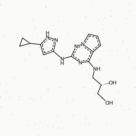 OC[C@@H](O)CNc1nc(Nc2cc(C3CC3)[nH]n2)nn2cccc12